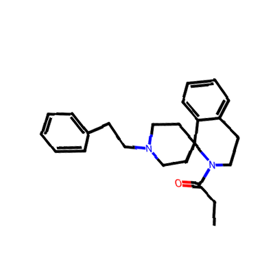 CCC(=O)N1CCc2ccccc2C12CCN(CCc1ccccc1)CC2